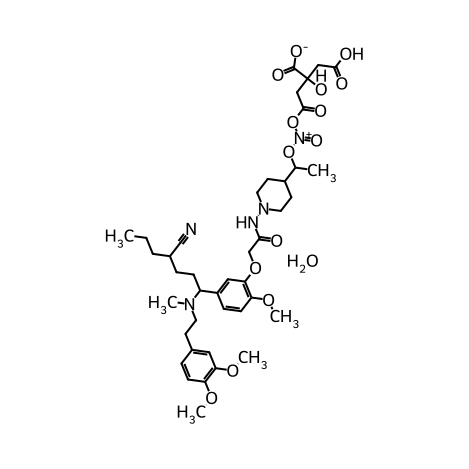 CCCC(C#N)CCC(c1ccc(OC)c(OCC(=O)NN2CCC(C(C)O[N+](=O)OC(=O)CC(O)(CC(=O)O)C(=O)[O-])CC2)c1)N(C)CCc1ccc(OC)c(OC)c1.O